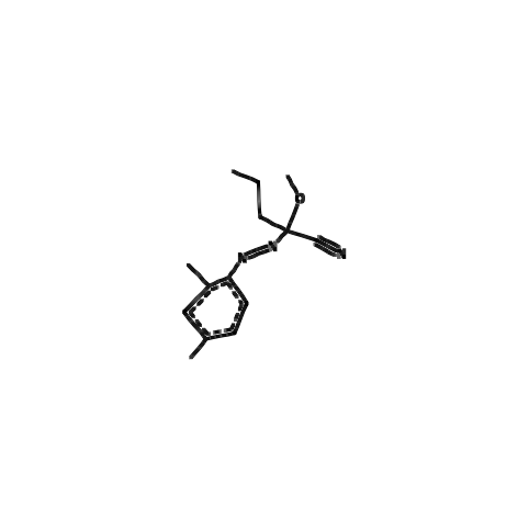 CCCC(C#N)(N=Nc1ccc(C)cc1C)OC